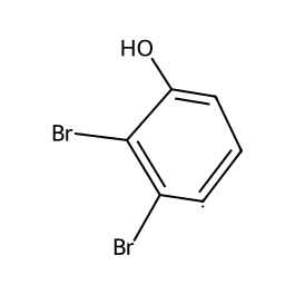 Oc1cc[c]c(Br)c1Br